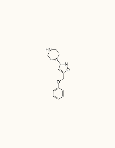 c1ccc(OCc2cc(N3CCNCC3)no2)cc1